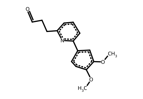 COc1ccc(-c2cccc(CCC=O)n2)cc1OC